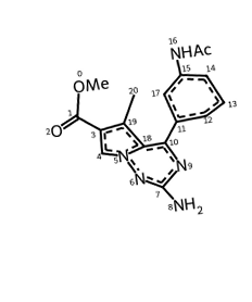 COC(=O)c1cn2nc(N)nc(-c3cccc(NC(C)=O)c3)c2c1C